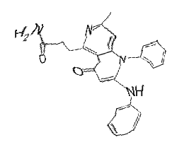 Cc1cc2c(c(CCC(N)=O)n1)c(=O)cc(Nc1ccccc1)n2-c1ccccc1